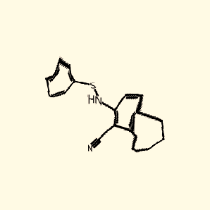 N#Cc1c(NSc2ccccc2)ccc2c1CCCC2